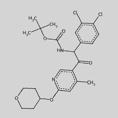 Cc1cc(OC2CCOCC2)ncc1C(=O)C(NC(=O)OC(C)(C)C)c1ccc(Cl)c(Cl)c1